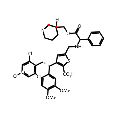 COc1ccc([C@H](Cc2c(Cl)c[n+]([O-])cc2Cl)c2cc(CNC(C(=O)OC[C@H]3CN4CCC3CC4)c3ccccc3)sc2C(=O)O)cc1OC